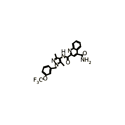 Cc1nn(Cc2cccc(OC(F)(F)F)c2)c(C)c1NC(=O)c1cc(C(N)=O)c2ccccc2n1